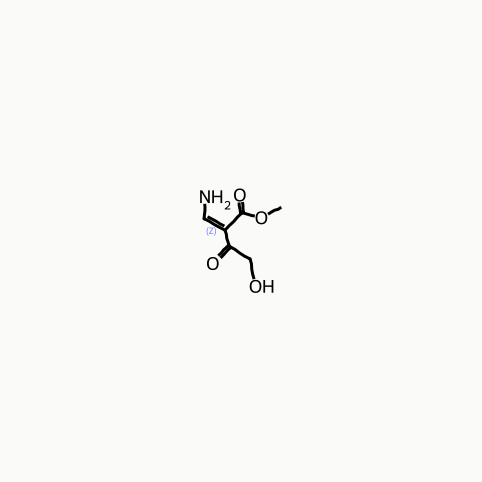 COC(=O)/C(=C\N)C(=O)CO